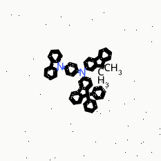 CC1(C)c2ccccc2-c2ccc(N(c3ccc(-n4c5ccccc5c5ccccc54)cc3)c3ccc4c(c3)-c3ccccc3C4(c3ccccc3)c3ccccc3)cc21